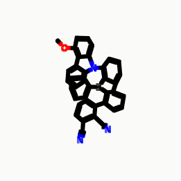 COc1cccc2c1c1ccccc1n2-c1cccc2c1B(c1ccccc1)c1c(-c3cccc(C#N)c3C#N)cccc1-2